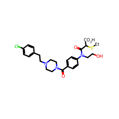 CCSC(C(=O)O)C(=O)N(CCO)c1ccc(C(=O)N2CCN(CCc3ccc(Cl)cc3)CC2)cc1